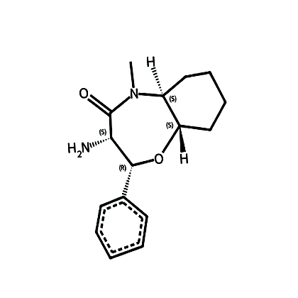 CN1C(=O)[C@@H](N)[C@@H](c2ccccc2)O[C@H]2CCCC[C@@H]21